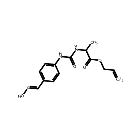 C=CCOC(=O)C(C)NC(=O)Nc1ccc(C=NO)cc1